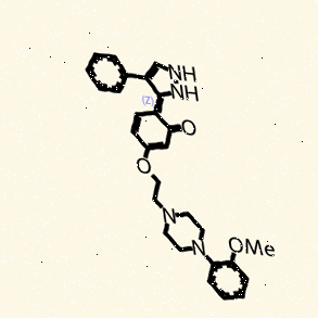 COc1ccccc1N1CCN(CCOC2=CC(=O)/C(=C3\NNC=C3c3ccccc3)C=C2)CC1